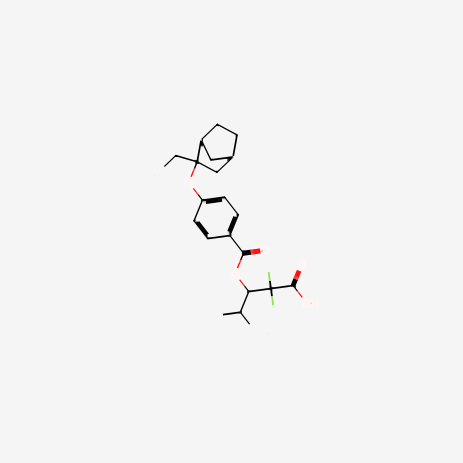 CCC1(Oc2ccc(C(=O)OC(C(C)C)C(F)(F)C(=O)O)cc2)CC2CCC1C2